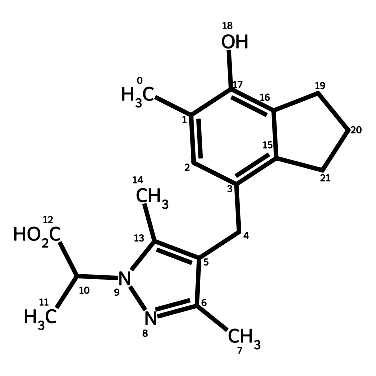 Cc1cc(Cc2c(C)nn(C(C)C(=O)O)c2C)c2c(c1O)CCC2